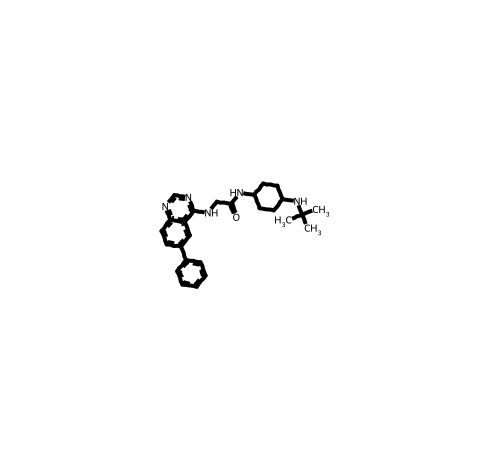 CC(C)(C)NC1CCC(NC(=O)CNc2ncnc3ccc(-c4ccccc4)cc23)CC1